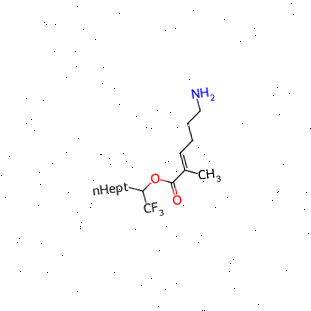 CCCCCCCC(OC(=O)C(C)=CCCCN)C(F)(F)F